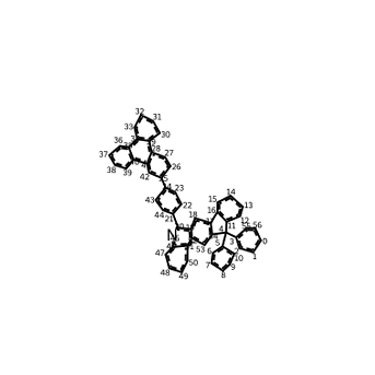 c1ccc(C2(c3ccccc3)c3ccccc3-c3cc4c(-c5ccc(-c6ccc7c8ccccc8c8ccccc8c7c6)cc5)nc5ccccc5c4cc32)cc1